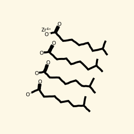 CC(C)CCCCCC(=O)[O-].CC(C)CCCCCC(=O)[O-].CC(C)CCCCCC(=O)[O-].CC(C)CCCCCC(=O)[O-].[Zr+4]